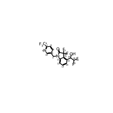 O=C1N(Cc2ccc(C(F)(F)F)nc2)c2cccc(C(O)C(F)F)c2C1(F)F